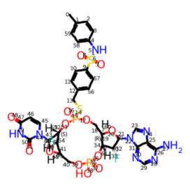 Cc1ccc(NS(=O)(=O)c2ccc(CSP3(=O)OC[C@H]4O[C@@H](n5cnc6c(N)ncnc65)[C@H](F)[C@@H]4OP(=O)(O)OC[C@H]4O[C@@H](n5ccc(=O)[nH]c5=O)[C@H](O3)[C@@H]4F)cc2)cc1